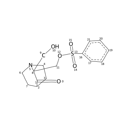 O=C1C2CCN(CC2)C1(CO)COS(=O)(=O)c1ccccc1